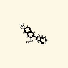 CCOc1ccc2cc(-c3nc4cncnc4[nH]3)c(OCC)cc2c1